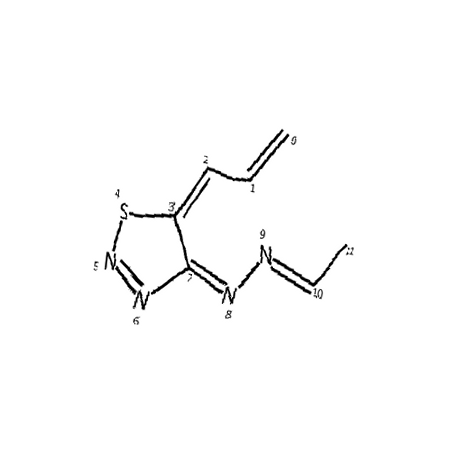 C=C/C=C1/SN=N/C1=N/N=C/C